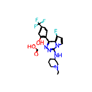 CCN1CCC[C@@H](Nc2nnc(-c3ccc(C(F)(F)F)cc3O)c3c(F)ccn23)C1.O=CO